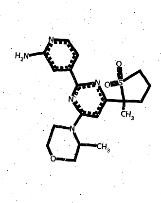 CC1COCCN1c1cc(C2(C)CCCS2(=O)=O)nc(-c2ccnc(N)c2)n1